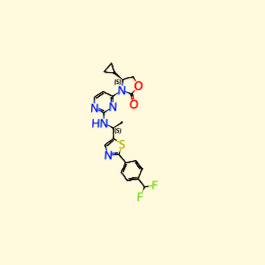 C[C@H](Nc1nccc(N2C(=O)OC[C@@H]2C2CC2)n1)c1cnc(-c2ccc(C(F)F)cc2)s1